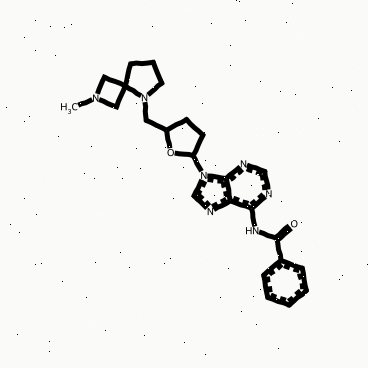 CN1CC2(CCCN2CC2CCC(n3cnc4c(NC(=O)c5ccccc5)ncnc43)O2)C1